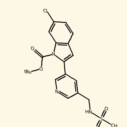 CC(C)(C)OC(=O)n1c(-c2cncc(CNS(C)(=O)=O)c2)cc2ccc(Cl)cc21